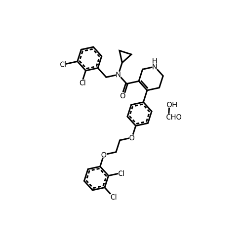 O=C(C1=C(c2ccc(OCCOc3cccc(Cl)c3Cl)cc2)CCNC1)N(Cc1cccc(Cl)c1Cl)C1CC1.O=CO